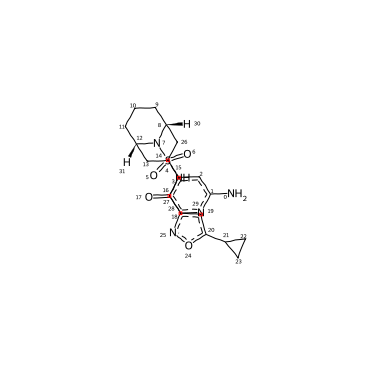 Nc1cc(S(=O)(=O)N2[C@@H]3CCC[C@H]2CC(NC(=O)c2cc(C4CC4)on2)C3)ccn1